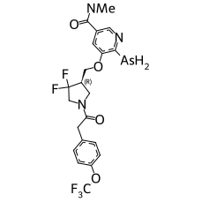 CNC(=O)c1cnc([AsH2])c(OC[C@H]2CN(C(=O)Cc3ccc(OC(F)(F)F)cc3)CC2(F)F)c1